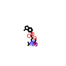 CC(C)NN1CC(C(=O)Oc2ccc3c(c2)C(C)CC3)OCC1=O